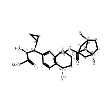 COC(=O)[C@@H](C)[C@H](c1ccc2c(c1)O[C@H](C1C[C@@H]3CC[C@@H](C1)N3C(=O)OC(C)(C)C)C[C@@H]2O)C1CC1